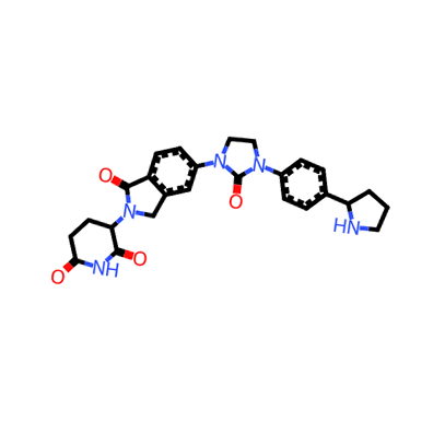 O=C1CCC(N2Cc3cc(N4CCN(c5ccc(C6CCCN6)cc5)C4=O)ccc3C2=O)C(=O)N1